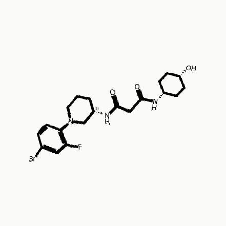 O=C(CC(=O)N[C@H]1CC[C@@H](O)CC1)N[C@H]1CCCN(c2ccc(Br)cc2F)C1